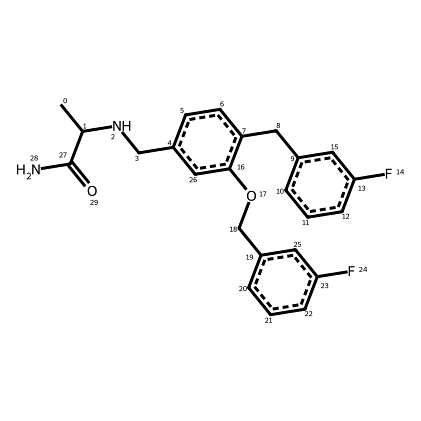 CC(NCc1ccc(Cc2cccc(F)c2)c(OCc2cccc(F)c2)c1)C(N)=O